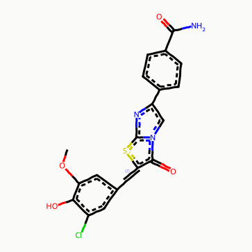 COc1cc(/C=c2\sc3nc(-c4ccc(C(N)=O)cc4)cn3c2=O)cc(Cl)c1O